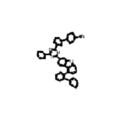 N#Cc1ccc(-c2cccc(-c3nc(-c4ccccc4)nc(-c4ccc5c(c4)oc4cccc(-c6ccccc6-c6ccccc6)c45)n3)c2)cc1